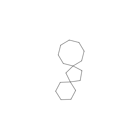 C1CCCC2(CCC1)CCC1(CCCCC1)C2